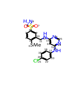 CSc1ccc(S(N)(=O)=O)cc1CNc1cc(Nc2ccc(Cl)cc2)ncn1